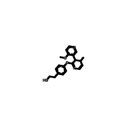 COc1ccncc1C1C(Oc2ccc(CCO)cc2)=NC=CC1C